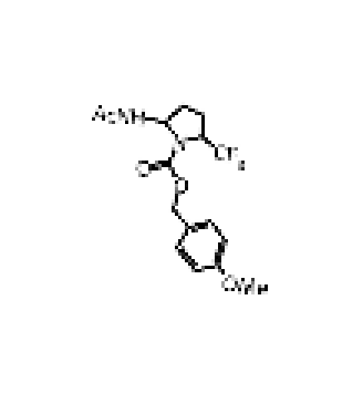 COc1ccc(COC(=O)N2C(NC(C)=O)CCC2C(F)(F)F)cc1